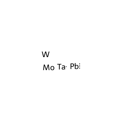 [Mo].[Pb].[Ta].[W]